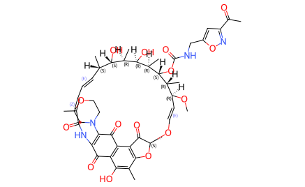 CO[C@H]1/C=C/O[C@@]2(C)Oc3c(C)c(O)c4c(c3C2=O)C(=O)C(N2CCOCC2)=C(NC(=O)/C(C)=C\C=C\[C@H](C)[C@H](O)[C@@H](C)[C@@H](O)[C@@H](C)[C@H](OC(=O)NCc2cc(C(C)=O)no2)[C@@H]1C)C4=O